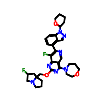 Fc1c(-c2cccc3c2cnn3C2CCCCO2)ncc2c(N3CCCOCC3)nc(OCC34CCCN3CC(F)C4)nc12